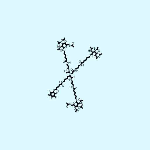 CCC1OC(OCCCCCC(=O)NCCCNC(=O)CN(C(C=O)NCCCNC(=O)CCCCCOC2OC(COC(C)=O)C(OC(C)=O)C(OC(C)=O)C2NC(C)=O)C(CCCCNC(=O)CCCC(=O)Oc2c(F)c(F)c(F)c(F)c2F)C(=O)NCCCNC(=O)CCCCCOC2OC(COC(C)=O)C(OC(C)=O)C(OC(C)=O)C2NC(C)=O)C(NC(C)=O)C(OC(C)=O)C1OC(C)=O